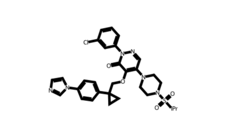 CC(C)S(=O)(=O)N1CCN(c2cnn(-c3cccc(Cl)c3)c(=O)c2OCC2(c3ccc(-n4ccnc4)cc3)CC2)CC1